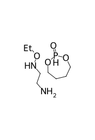 CCONCCN.O=[PH]1OCCCCO1